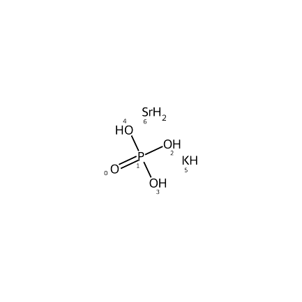 O=P(O)(O)O.[KH].[SrH2]